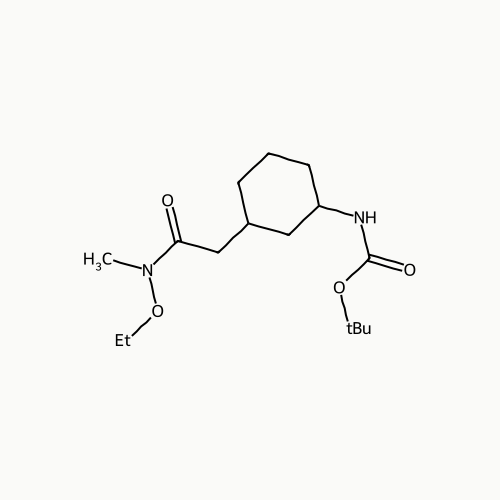 CCON(C)C(=O)CC1CCCC(NC(=O)OC(C)(C)C)C1